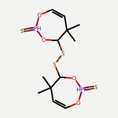 CC1(C)C=CO[PH](=S)OC1SSC1O[PH](=S)OC=CC1(C)C